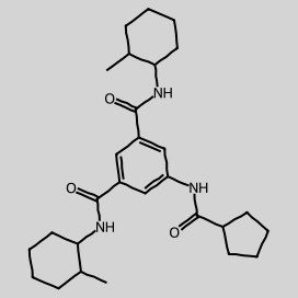 CC1CCCCC1NC(=O)c1cc(NC(=O)C2CCCC2)cc(C(=O)NC2CCCCC2C)c1